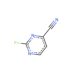 N#Cc1c[c]nc(F)n1